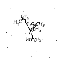 CC(C)CCCCC(=O)OCC(C)O.CN(C)C